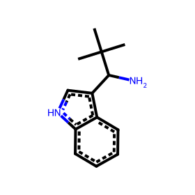 CC(C)(C)C(N)c1c[nH]c2ccccc12